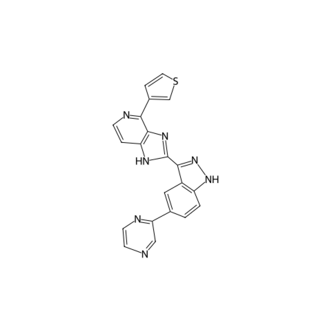 c1cnc(-c2ccc3[nH]nc(-c4nc5c(-c6ccsc6)nccc5[nH]4)c3c2)cn1